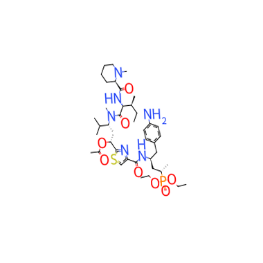 CCOP(=O)(OCC)[C@@H](C)C[C@H](Cc1ccc(N)cc1)NC(=O)c1csc([C@@H](C[C@H](C(C)C)N(C)C(=O)[C@@H](NC(=O)[C@H]2CCCCN2C)[C@@H](C)CC)OC(C)=O)n1